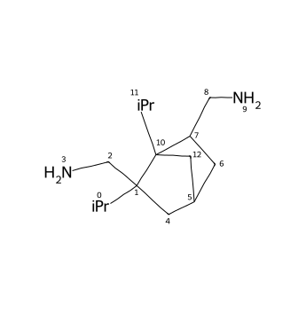 CC(C)C1(CN)CC2CC(CN)C1(C(C)C)C2